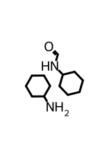 NC1CCCCC1.O=CNC1CCCCC1